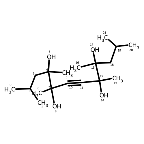 CC(C)CC(C)(O)C(C)(O)C#CC(C)(O)C(C)(O)CC(C)C